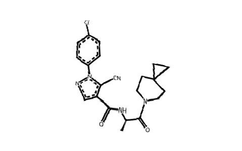 C[C@@H](NC(=O)c1cnn(-c2ccc(Cl)cc2)c1C#N)C(=O)N1CCC2(CC1)CC2